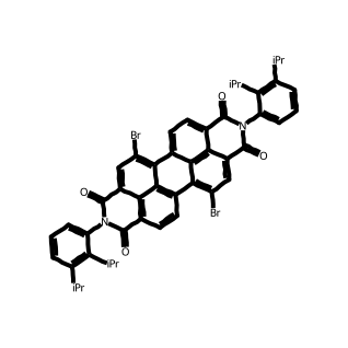 CC(C)c1cccc(N2C(=O)c3ccc4c5c(Br)cc6c7c(ccc(c8c(Br)cc(c3c48)C2=O)c75)C(=O)N(c2cccc(C(C)C)c2C(C)C)C6=O)c1C(C)C